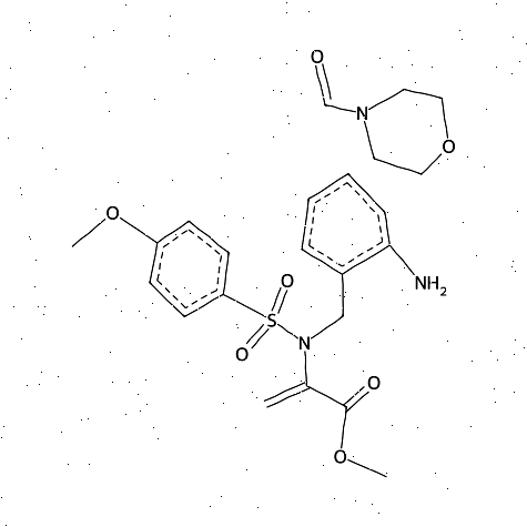 C=C(C(=O)OC)N(Cc1ccccc1N)S(=O)(=O)c1ccc(OC)cc1.O=CN1CCOCC1